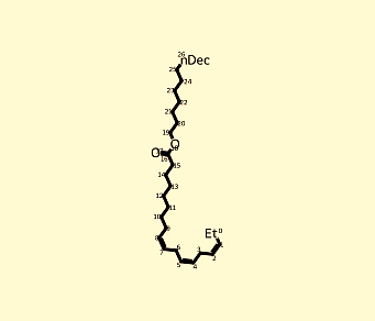 CC/C=C\C/C=C\C/C=C\CCCCCCCC(=O)OCCCCCCCCCCCCCCCCC